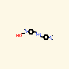 CN(C)c1ccc(/C=N/N=C/c2ccc(N(C)CCO)cc2)cc1